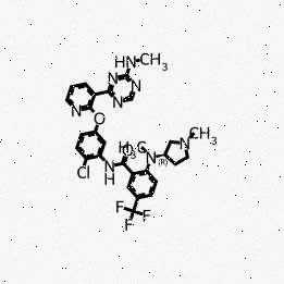 CNc1ncnc(-c2cccnc2Oc2ccc(Cl)c(NC(=O)c3cc(C(F)(F)F)ccc3N(C)[C@@H]3CCN(C)C3)c2)n1